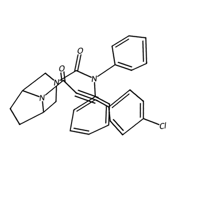 O=C(N1CC2CCC(C1)N2C(=O)C#Cc1ccc(Cl)cc1)N(c1ccccc1)c1ccccc1